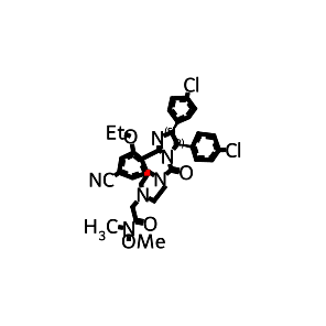 CCOc1cc(C#N)ccc1C1=N[C@@H](c2ccc(Cl)cc2)[C@@H](c2ccc(Cl)cc2)N1C(=O)N1CCN(CC(=O)N(C)OC)CC1